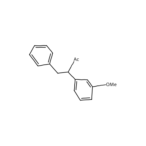 COc1cccc(C(Cc2ccccc2)C(C)=O)c1